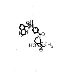 CCS(=O)(=O)CC1(O)CCN(C(=O)c2ccc(N[SH](=O)(I)c3cccc4nccnc34)cc2)CC1